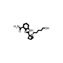 NC(=O)c1cccc2[nH]c(C34CC(CN3CCCCCO)C4)nc12